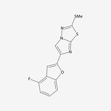 CSc1nn2cc(-c3cc4c(F)cccc4o3)nc2s1